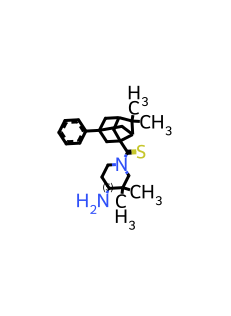 CC1(C)C2CC3(c4ccccc4)CC1C(C(=S)N1CC[C@H](N)C(C)(C)C1)(C2)C3